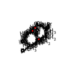 CC(/C=C/c1ccccc1)=C\[C@H](O)[C@@H]1CC(=O)N[C@@H](CO)C(=O)N[C@@H]2C[n+]3cc(n([C@H]4OC[C@@H](O)[C@@H](O)[C@@H]4O)c3)C[C@H](NC(=O)CCC[C@@H](C(=O)[O-])NC(=O)[C@H](O)CNC(=O)[C@H]([C@@H](C)c3ccc(Br)cc3)NC(=O)[C@H]([C@@H](O)C(N)=O)NC(=O)[C@H](CC(N)=O)NC2=O)C(=O)N[C@@H]([C@H](C)O)C(=O)N[C@@H](CO)C(=O)N[C@@H](Cc2ccccc2)C(=O)N1